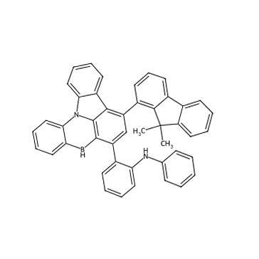 CC1(C)c2ccccc2-c2cccc(-c3cc(-c4ccccc4Nc4ccccc4)c4c5c3c3ccccc3n5-c3ccccc3B4)c21